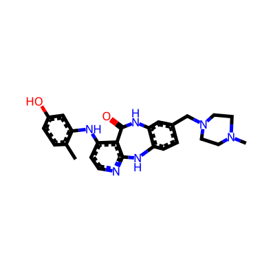 Cc1ccc(O)cc1Nc1ccnc2c1C(=O)Nc1cc(CN3CCN(C)CC3)ccc1N2